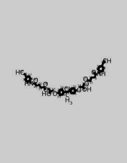 C#Cc1ccc(NC(=O)CCCC(=O)OCC(O)COc2ccc(C(C)(C)c3ccc(OCC(O)COC(=O)CCCC(=O)Nc4ccc(C#C)cc4)cc3)cc2)cc1